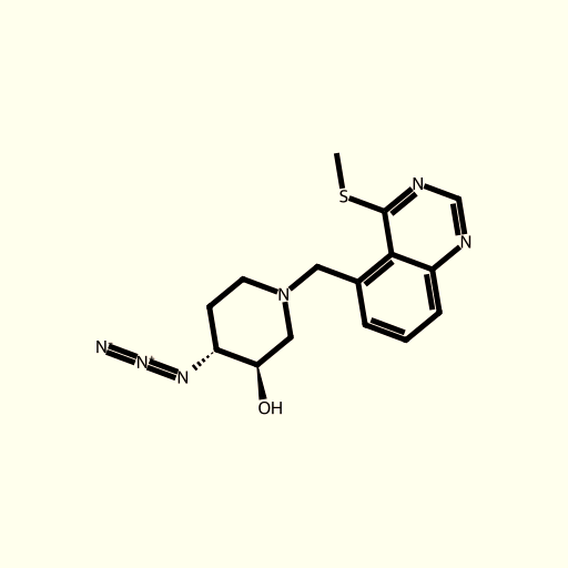 CSc1ncnc2cccc(CN3CC[C@@H](N=[N+]=[N-])[C@H](O)C3)c12